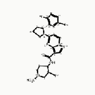 O=C(NC1CCN(C(=O)O)CC1F)c1cnn2ccc(N3CCC[C@@H]3c3cc(F)ccc3F)nc12